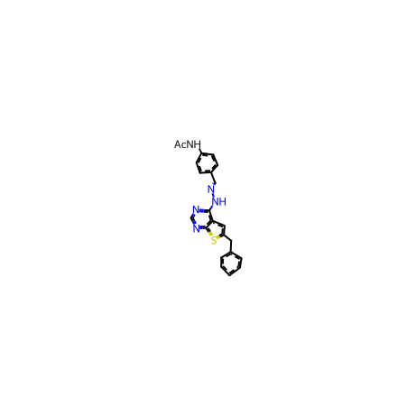 CC(=O)Nc1ccc(C=NNc2ncnc3sc(Cc4ccccc4)cc23)cc1